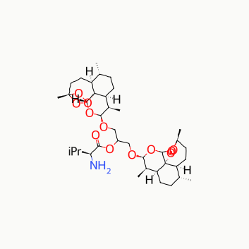 CC(C)[C@H](N)C(=O)OC(CO[C@H]1OC2O[C@@]3(C)CC[C@H]4[C@H](C)CC[C@@H]([C@H]1C)[C@@]24OO3)CO[C@H]1O[C@@H]2O[C@@]3(C)CC[C@H]4[C@H](C)CC[C@@H]([C@H]1C)[C@@]24OO3